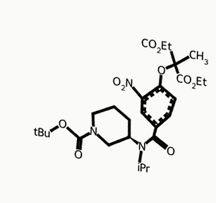 CCOC(=O)C(C)(Oc1ccc(C(=O)N(C(C)C)[C@@H]2CCCN(C(=O)OC(C)(C)C)C2)cc1[N+](=O)[O-])C(=O)OCC